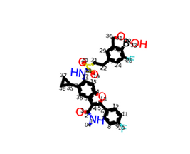 CNC(=O)c1c(-c2ccc(F)cc2)oc2cc(NS(=O)(=O)CCc3cc(F)c4c(c3)COB4O)c(C3CC3)cc12